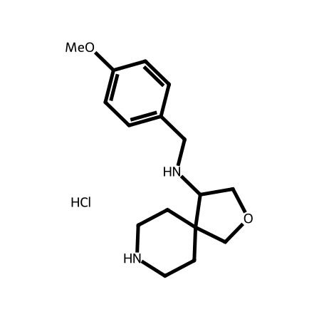 COc1ccc(CNC2COCC23CCNCC3)cc1.Cl